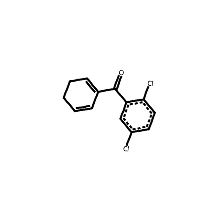 O=C(C1=CCCC=C1)c1cc(Cl)ccc1Cl